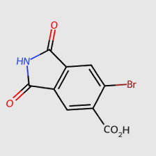 O=C(O)c1cc2c(cc1Br)C(=O)NC2=O